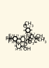 COc1ccc([C@@H]2CN(C(C)(C)C)C[C@@]2(F)C(=O)N2CCC(c3ccc(C(F)(F)F)cc3N3CCC[C@@H](C(=O)O)C3)CC2)cc1